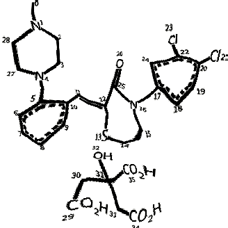 CN1CCN(c2ccccc2C=C2SCCN(c3ccc(Cl)c(Cl)c3)C2=O)CC1.O=C(O)CC(O)(CC(=O)O)C(=O)O